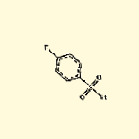 CCS(=O)(=O)c1ccc(F)cc1